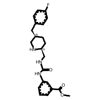 COC(=O)c1cccc(NC(=O)NC[C@@H]2CC[C@H](Cc3ccc(F)cc3)CN2)c1